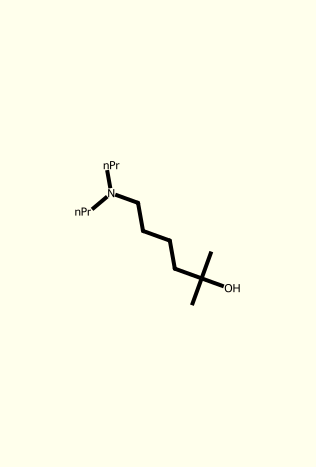 CCCN(CCC)CCCCC(C)(C)O